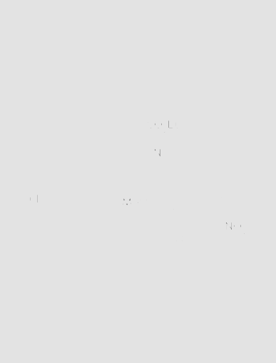 CCOC(=O)N(CCCCCl)c1cccc([N+](=O)[O-])c1C(=O)OC